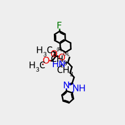 CNC(CCCc1nc2ccccc2[nH]1)C[C@@]1(OC(=O)COC)CCc2cc(F)ccc2[C@H]1C(C)C